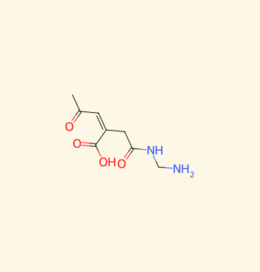 CC(=O)/C=C(/CC(=O)NCN)C(=O)O